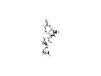 NCCn1cc(-c2c[nH]c3cc(F)ccc23)cn1